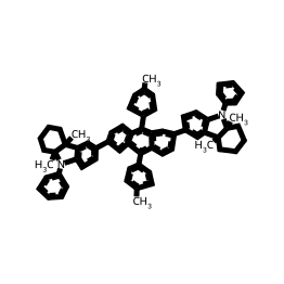 Cc1ccc(-c2c3ccc(-c4ccc5c(c4)C4(C)CCCCC4(C)N5c4ccccc4)cc3c(-c3ccc(C)cc3)c3ccc(-c4ccc5c(c4)C4(C)CCCCC4(C)N5c4ccccc4)cc23)cc1